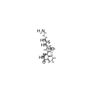 Cl.NCCCNC(=S)Nc1cccc(-c2n[nH]c(=O)c3ccccc23)c1